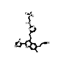 Cc1cc2nc(-c3cncn3C)cc(CCc3ccnc(NCCS(C)(=O)=O)n3)c2cc1CCC#N